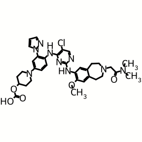 COc1cc2c(cc1Nc1ncc(Cl)c(Nc3ccc(N4CCC(OC(=O)O)CC4)cc3-n3cccn3)n1)CCN(CC(=O)N(C)C)CC2